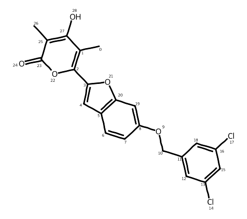 Cc1c(-c2cc3ccc(OCc4cc(Cl)cc(Cl)c4)cc3o2)oc(=O)c(C)c1O